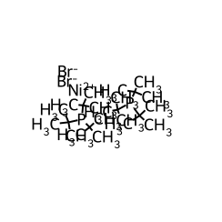 CC(C)(C)P(C(C)(C)C)C(C)(C)C.CC(C)(C)P(C(C)(C)C)C(C)(C)C.[Br-].[Br-].[Ni+2]